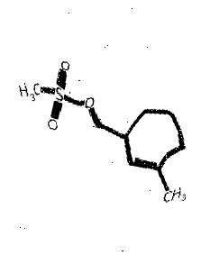 CC1=CC(COS(C)(=O)=O)CCC1